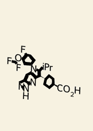 CC(C)c1c([C@H]2CC[C@H](C(=O)O)CC2)c2nc3[nH]ncc3cc2n1-c1ccc(F)c(OC(F)F)c1